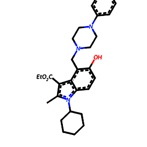 CCOC(=O)c1c(C)n(C2CCCCC2)c2ccc(O)c(CN3CCN(c4ccccc4)CC3)c12